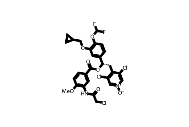 COc1ccc(C(=O)O[C@@H](Cc2c(Cl)c[n+]([O-])cc2Cl)c2ccc(OC(F)F)c(OCC3CC3)c2)cc1NC(=O)CCl